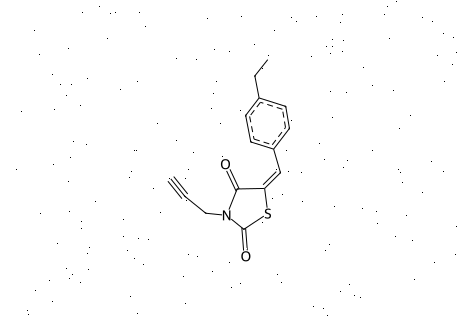 C#CCN1C(=O)SC(=Cc2ccc(CC)cc2)C1=O